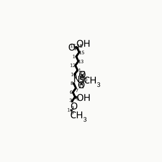 CCOCC(O)CCCN(CCCCCCC(=O)O)S(C)(=O)=O